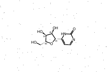 O=c1nccc([C@@H]2O[C@H](CO)[C@@H](O)[C@H]2O)[nH]1